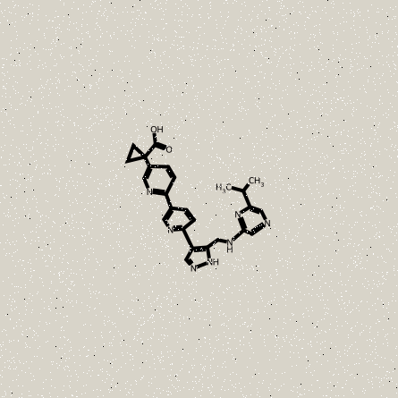 CC(C)c1cncc(NCc2[nH]ncc2-c2ccc(-c3ccc(C4(C(=O)O)CC4)cn3)cn2)n1